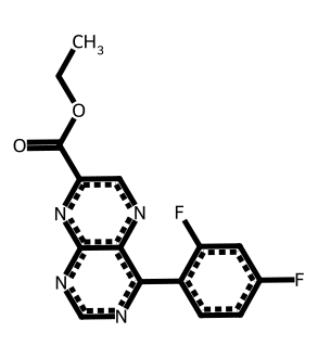 CCOC(=O)c1cnc2c(-c3ccc(F)cc3F)ncnc2n1